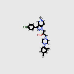 CC(=O)N1CCc2c(c(-c3ccc(Cl)cc3)nn2CC(O)CN2CCN(c3ccc(C)cc3C)CC2)C1